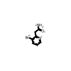 NC(=O)Cc1ncccc1Br